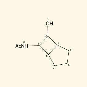 CC(=O)NC1C(O)C2CCCC21